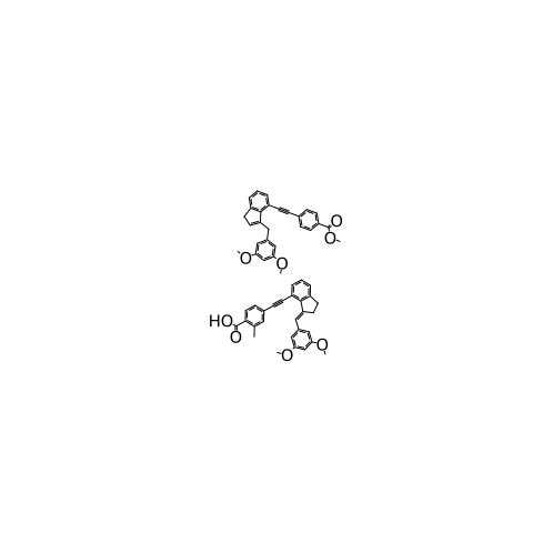 COC(=O)c1ccc(C#Cc2cccc3c2C(Cc2cc(OC)cc(OC)c2)=CC3)cc1.COc1cc(/C=C2\CCc3cccc(C#Cc4ccc(C(=O)O)c(C)c4)c32)cc(OC)c1